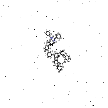 C1=C(/c2ccccc2)C2CCC(\C=C/1c1ccccc1)N=C(c1cccc(-c3cccc(-c4ccc5c(c4)-c4ccccc4C(c4ccccc4)CCc4ccccc4-c4ccccc4-5)c3)c1)N2